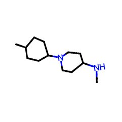 CNC1CCN(C2CCC(C)CC2)CC1